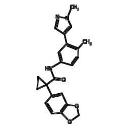 Cc1ccc(NC(=O)C2(c3ccc4c(c3)OCO4)CC2)cc1-c1cnn(C)c1